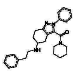 O=C(c1c2c(nn1-c1ccccc1)CCC(NCCc1ccccc1)C2)N1CCCCC1